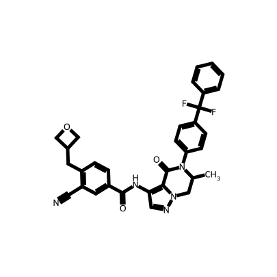 CC1Cn2ncc(NC(=O)c3ccc(CC4COC4)c(C#N)c3)c2C(=O)N1c1ccc(C(F)(F)c2ccccc2)cc1